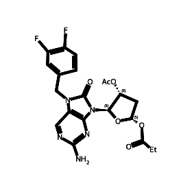 CCC(=O)O[C@H]1C[C@@H](OC(C)=O)[C@H](n2c(=O)n(Cc3ccc(F)c(F)c3)c3cnc(N)nc32)O1